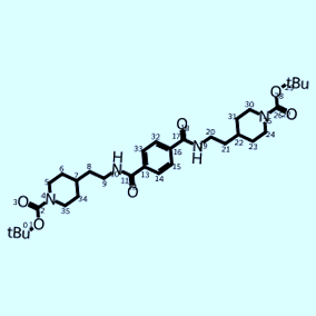 CC(C)(C)OC(=O)N1CCC(CCNC(=O)c2ccc(C(=O)NCCC3CCN(C(=O)OC(C)(C)C)CC3)cc2)CC1